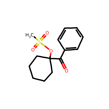 CS(=O)(=O)OC1(C(=O)c2ccccc2)CCCCC1